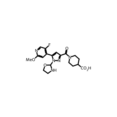 COc1cc(-c2cc(C(=O)N3CCC(C(=O)O)CC3)nn2C2NCCO2)c(F)cn1